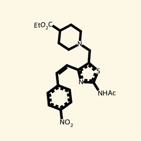 CCOC(=O)C1CCN(Cc2sc(NC(C)=O)nc2/C=C\c2ccc([N+](=O)[O-])cc2)CC1